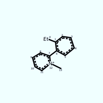 CCc1ccccc1-c1cccc[n+]1C